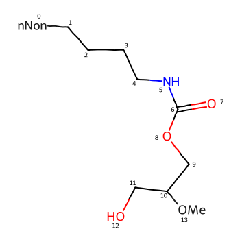 CCCCCCCCCCCCCNC(=O)OCC(CO)OC